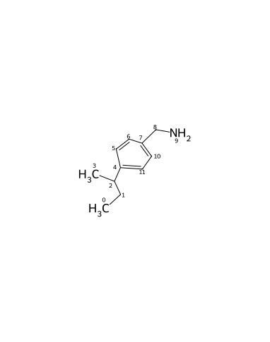 CCC(C)c1ccc(CN)cc1